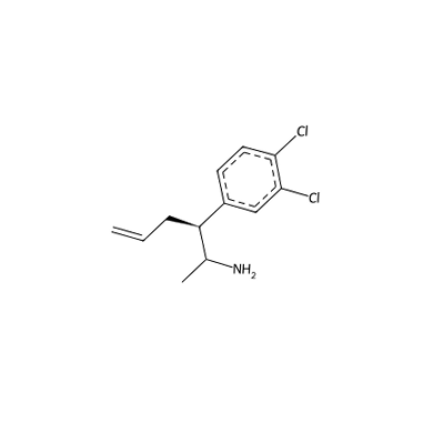 C=CC[C@@H](c1ccc(Cl)c(Cl)c1)C(C)N